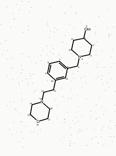 OC1CCN(Cc2cccc(CCN3CCOCC3)c2)CC1